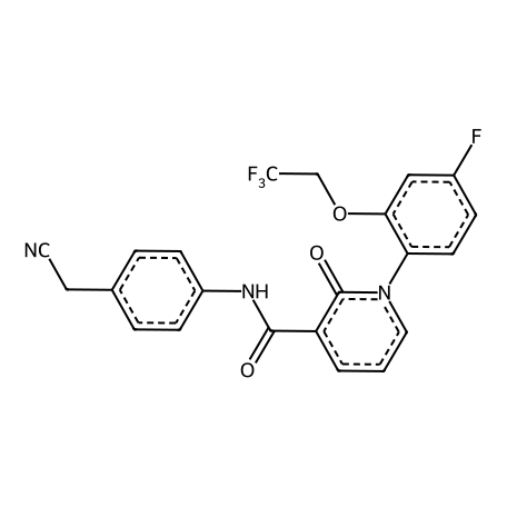 N#CCc1ccc(NC(=O)c2cccn(-c3ccc(F)cc3OCC(F)(F)F)c2=O)cc1